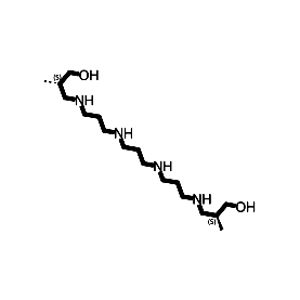 C[C@H](CO)CNCCCNCCCNCCCNC[C@H](C)CO